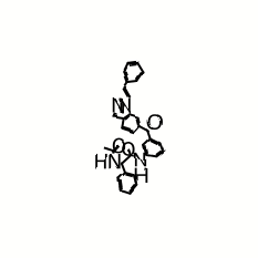 CC(=O)NC(C(=O)Nc1cccc(C(=O)c2ccc3cnn(C=Cc4ccccc4)c3c2)c1)c1ccccc1